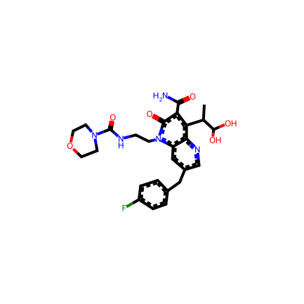 CC(c1c(C(N)=O)c(=O)n(CCNC(=O)N2CCOCC2)c2cc(Cc3ccc(F)cc3)cnc12)C(O)O